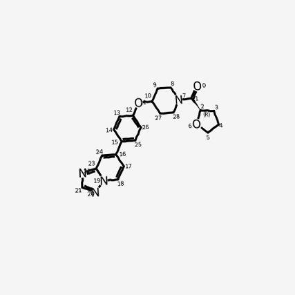 O=C([C@H]1CCCO1)N1CCC(Oc2ccc(-c3ccn4ncnc4c3)cc2)CC1